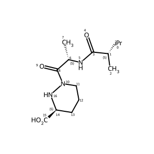 CC(C)[C@H](C)C(=O)N[C@@H](C)C(=O)N1CCC[C@@H](C(=O)O)N1